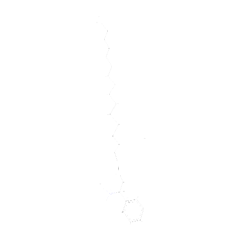 CCCCCCCCCCCCCCCCCCC(c1ccccc1)N(C)C.I